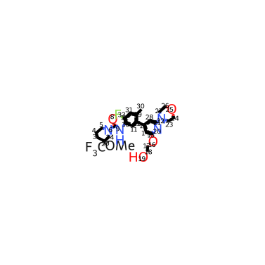 COC1(C(F)(F)F)CCCN(C(=O)Nc2cc(-c3cc(OCCO)nc(N4CCOCC4)c3)c(C)cc2F)C1